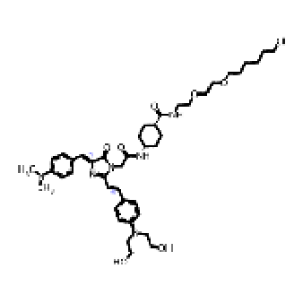 CN(C)c1ccc(/C=C2N=C(/C=C/c3ccc(N(CCO)CCO)cc3)N(CC(=O)N[C@H]3CC[C@H](C(=O)NCCOCCOCCCCCCCl)CC3)C\2=O)cc1